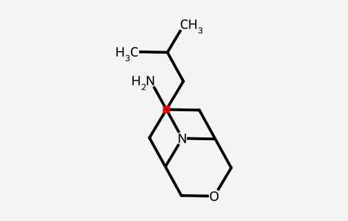 CC(C)CCN1C2COCC1CC(N)C2